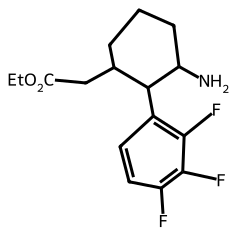 CCOC(=O)CC1CCCC(N)C1c1ccc(F)c(F)c1F